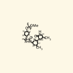 COC(F)(F)Oc1ccc(C2(C(=O)Nc3cc(C)cc(-c4cc(C)c[nH]c4=O)n3)CC2)cc1